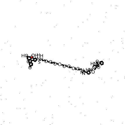 O=C(O)c1cc(NC(=S)NCCOCCOCCOCCOCCOCCOCCOCCOCCn2cc(-c3cccc(NC(=O)N4CCC5(CC4)NC(=O)N(c4ccccc4)C5=O)c3)nn2)ccc1-c1c2ccc(=O)cc-2oc2cc(O)ccc12